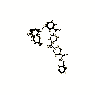 O=C(OCc1ccccc1)N1CCC(C(=O)N2CCN(C(=O)c3cccc(COc4n[nH]c(=O)c5ccc(F)cc45)c3)CC2)CC1